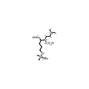 CCCCCCC(CCCO[Si](C)(C)C(C)(C)C)N(CCN(C)C)C(=O)O